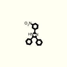 O=[N+]([O-])c1cccc(-c2nc(-c3ccccc3)c(-c3ccccc3)[nH]2)c1